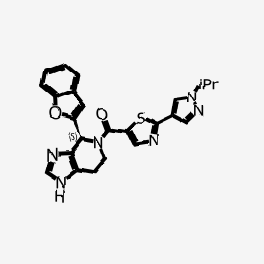 CC(C)n1cc(-c2ncc(C(=O)N3CCc4[nH]cnc4[C@H]3c3cc4ccccc4o3)s2)cn1